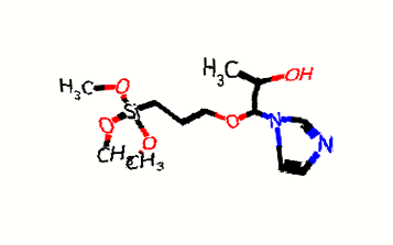 CO[Si](CCCOC(C(C)O)n1ccnc1)(OC)OC